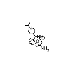 CC(C)N1CCC(C(NS(=O)(=O)CC(N)=O)c2nccs2)CC1